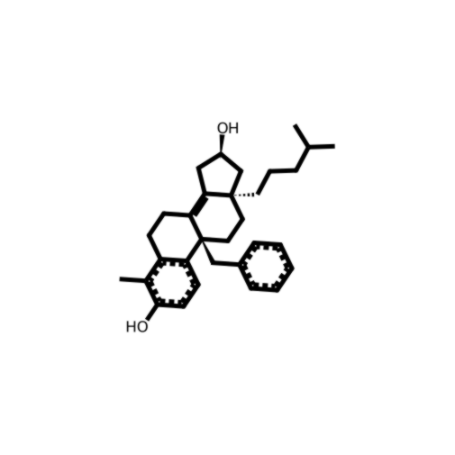 Cc1c(O)ccc2c1CCC1=C3C[C@@H](O)C[C@@]3(CCCC(C)C)CC[C@@]12Cc1ccccc1